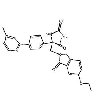 CCOc1ccc2c(c1)C(=O)N(C[C@@]1(c3ccc(-c4cc(C)ccn4)cc3)NC(=O)NC1=O)C2